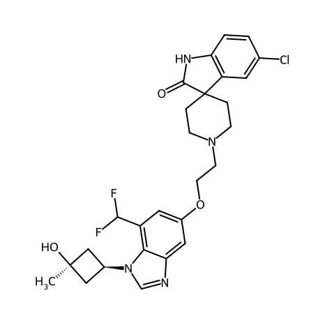 C[C@]1(O)C[C@@H](n2cnc3cc(OCCN4CCC5(CC4)C(=O)Nc4ccc(Cl)cc45)cc(C(F)F)c32)C1